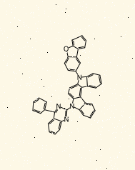 c1ccc(-c2nc(-n3c4ccccc4c4c5c6ccccc6n(-c6ccc7oc8ccccc8c7c6)c5ccc43)nc3ccccc23)cc1